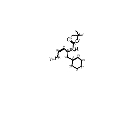 CC(C)(C)OC(=O)N[C@H](/C=C\[CH]O)CC1CCCCC1